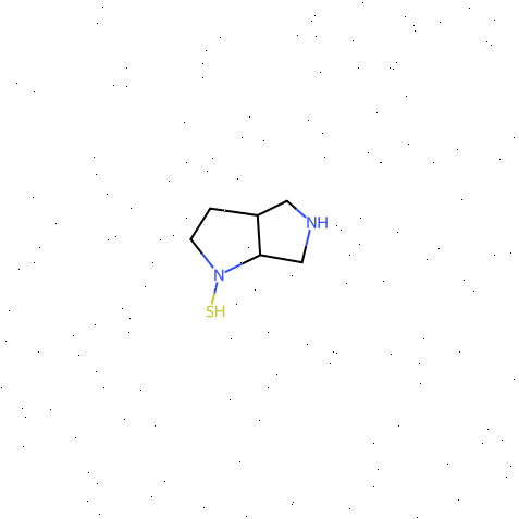 SN1CCC2CNCC21